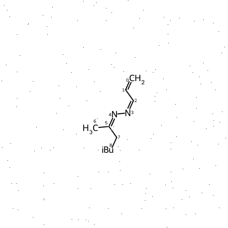 C=C/C=N\N=C(\C)CC(C)CC